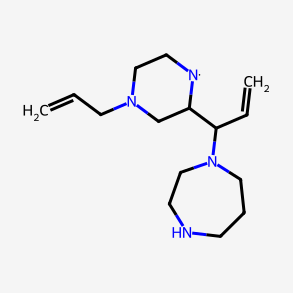 C=CCN1CC[N]C(C(C=C)N2CCCNCC2)C1